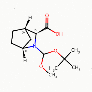 COC(OC(C)(C)C)N1[C@@H]2CC[C@@H](C2)[C@H]1C(=O)O